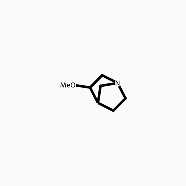 COC1CN2CCC1C2